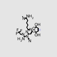 CN=C(N)CCCCc1nccc(N(C#N)C(N)=NCC(F)(F)F)n1.O=C(O)/C=C\C(=O)O